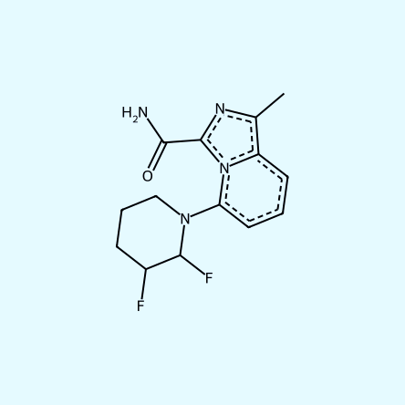 Cc1nc(C(N)=O)n2c(N3CCCC(F)C3F)cccc12